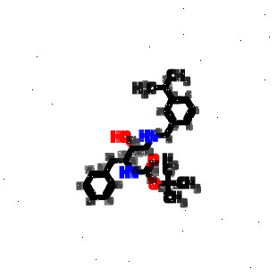 CC(C)c1cccc(CNC[C@@H](O)[C@H](Cc2ccccc2)NC(=O)OC(C)(C)C)c1